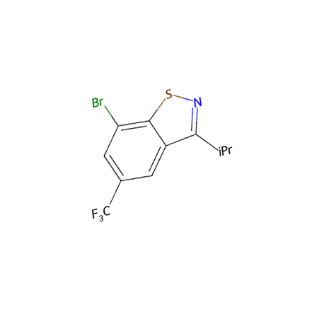 CC(C)c1nsc2c(Br)cc(C(F)(F)F)cc12